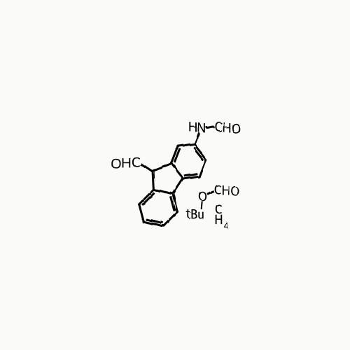 C.CC(C)(C)OC=O.O=CNc1ccc2c(c1)C(C=O)c1ccccc1-2